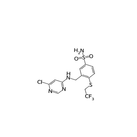 NS(=O)(=O)c1ccc(SCC(F)(F)F)c(CNc2cc(Cl)ncn2)c1